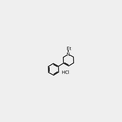 CCN1CCC=C(c2ccccc2)C1.Cl